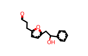 O=CCCc1ccc(CC(O)c2ccccc2)o1